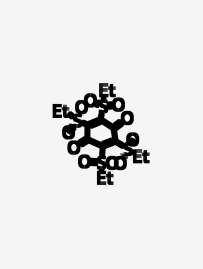 CCS(=O)(=O)C1=C(S(=O)(=O)CC)C(=O)C(S(=O)(=O)CC)=C(S(=O)(=O)CC)C1=O